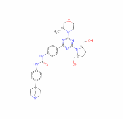 C[C@@H]1COCCN1c1nc(-c2ccc(NC(=O)Nc3ccc(C45CCN(CC4)CC5)cc3)cc2)nc(N2[C@H](CO)CC[C@@H]2CO)n1